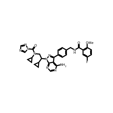 COc1ccc(F)cc1C(=O)NCc1ccc(-c2nn(C(CN(C(=O)n3cncn3)C3CC3)C3CC3)c3ncnc(N)c23)cc1